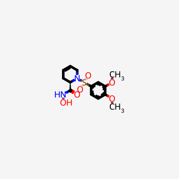 COc1ccc(S(=O)(=O)N2CC=CC[C@@H]2C(=O)NO)cc1OC